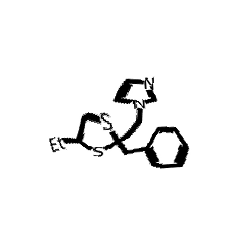 CCC1CSC(Cc2ccccc2)(Cn2ccnc2)S1